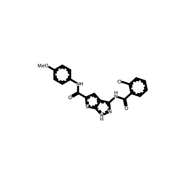 COc1ccc(NC(=O)c2cc3c(NC(=O)c4ccccc4Cl)n[nH]c3s2)cc1